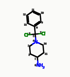 NC1CCN(C(Cl)(Cl)c2ccccc2)CC1